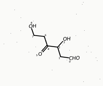 O=CCC(O)C(=O)CCO